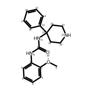 COc1ccccc1NC(=O)NC1(c2ccccc2)CCNCC1